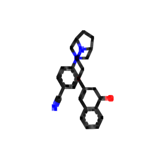 N#Cc1ccc(N2CC3CCC(C2)N3CCCC2=Cc3ccccc3C(=O)C2)cc1